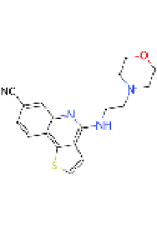 N#Cc1ccc2c(c1)nc(NCCN1CCOCC1)c1ccsc12